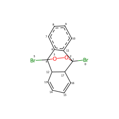 BrC12OOC(Br)(c3ccccc31)C1C=CC=CC12